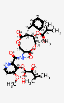 COc1ccnc(C(=O)N[C@H]2COC(=O)[C@H](Cc3ccccc3)[C@@H](OC(=O)C(C)C)[C@H](C)OC2=O)c1OC(O)C(=O)C(C)C